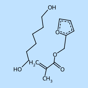 C=C(C)C(=O)OCc1ccco1.OCCCCCCO